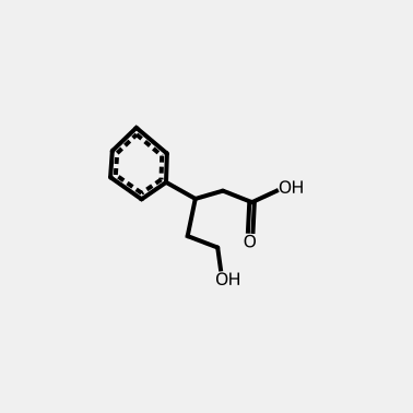 O=C(O)CC(CCO)c1ccccc1